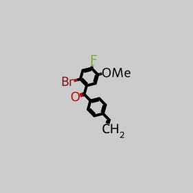 C=Cc1ccc(C(=O)c2cc(OC)c(F)cc2Br)cc1